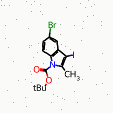 Cc1c(I)c2cc(Br)ccc2n1C(=O)OC(C)(C)C